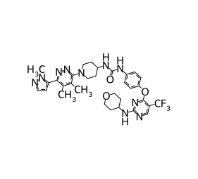 Cc1c(-c2ccnn2C)nnc(N2CCC(NC(=O)Nc3ccc(Oc4nc(NC5CCOCC5)ncc4C(F)(F)F)cc3)CC2)c1C